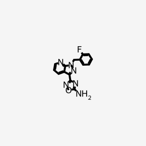 Nc1nc(-c2nn(Cc3ccccc3F)c3ncccc23)no1